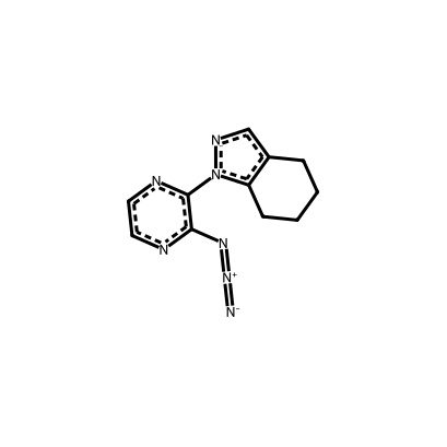 [N-]=[N+]=Nc1nccnc1-n1ncc2c1CCCC2